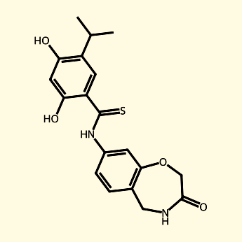 CC(C)c1cc(C(=S)Nc2ccc3c(c2)OCC(=O)NC3)c(O)cc1O